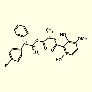 COc1cc[n+](O)c(C(=O)N[C@@H](C)C(=O)O[C@@H](C)[C@@H](c2ccccc2)c2ccc(F)cc2)c1O